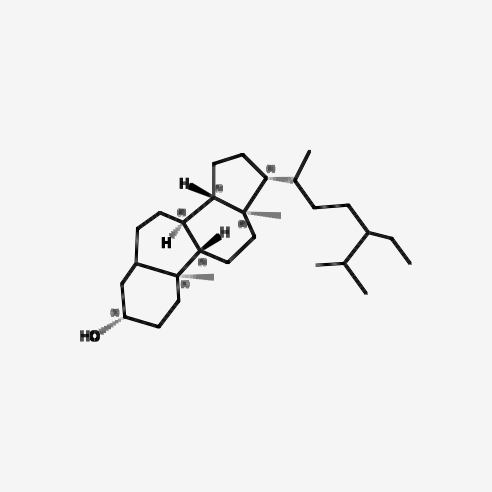 CCC(CCC(C)[C@H]1CC[C@H]2[C@@H]3CCC4C[C@@H](O)CC[C@]4(C)[C@H]3CC[C@]12C)C(C)C